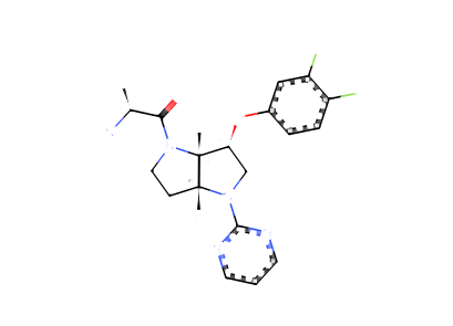 CC(C)(C)[C@H](N)C(=O)N1CC[C@@H]2[C@H]1[C@@H](Oc1ccc(F)c(F)c1)CN2c1ncccn1